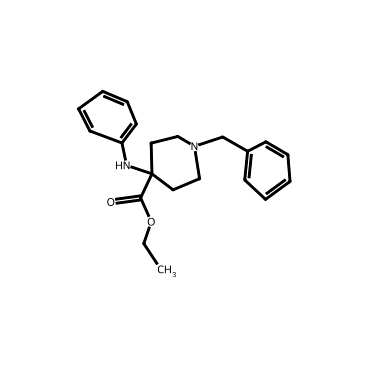 CCOC(=O)C1(Nc2ccccc2)CCN(Cc2ccccc2)CC1